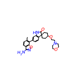 Cc1ccc2c(N)noc2c1-c1ccc2c(c1)NC(=O)C21CCC(OCCN2CCOCC2)CC1